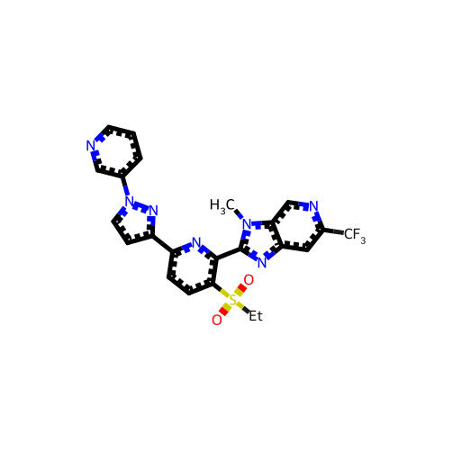 CCS(=O)(=O)c1ccc(-c2ccn(-c3cccnc3)n2)nc1-c1nc2cc(C(F)(F)F)ncc2n1C